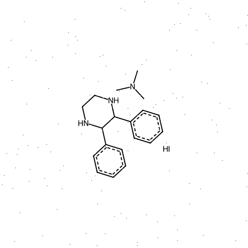 CN(C)C.I.c1ccc(C2NCCNC2c2ccccc2)cc1